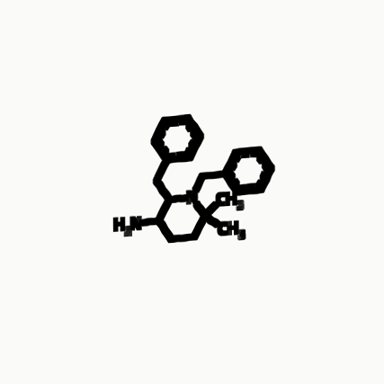 CC1(C)CCC(N)C(Cc2ccccc2)N1Cc1ccccc1